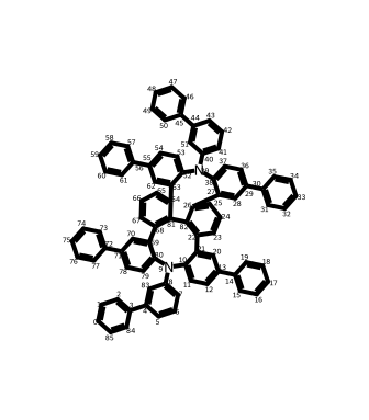 c1ccc(-c2cccc(-n3c4ccc(-c5ccccc5)cc4c4cccc5c6cc(-c7ccccc7)ccc6n(-c6cccc(-c7ccccc7)c6)c6ccc(-c7ccccc7)cc6c6cccc(c7cc(-c8ccccc8)ccc73)c6c45)c2)cc1